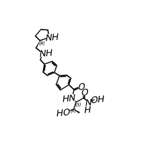 C[C@@H](O)[C@H](NC(=O)c1ccc(-c2ccc(CNC[C@H]3CCCN3)cc2)cc1)C(=O)NO